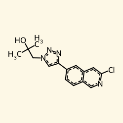 CC(C)(O)Cn1cc(-c2ccc3cnc(Cl)cc3c2)nn1